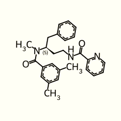 Cc1cc(C)cc(C(=O)N(C)[C@H](CCNC(=O)c2ccccn2)Cc2ccccc2)c1